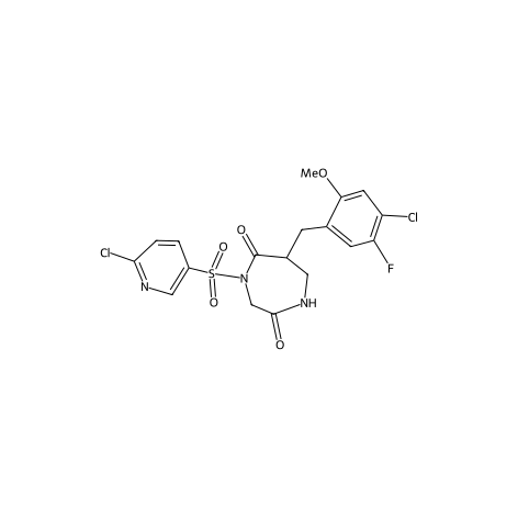 COc1cc(Cl)c(F)cc1CC1CNC(=O)CN(S(=O)(=O)c2ccc(Cl)nc2)C1=O